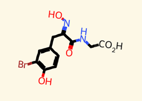 O=C(O)CNC(=O)/C(Cc1ccc(O)c(Br)c1)=N/O